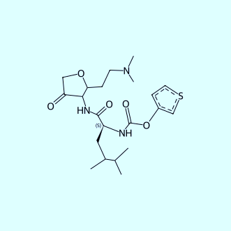 CC(C)C(C)C[C@H](NC(=O)Oc1ccsc1)C(=O)NC1C(=O)COC1CCN(C)C